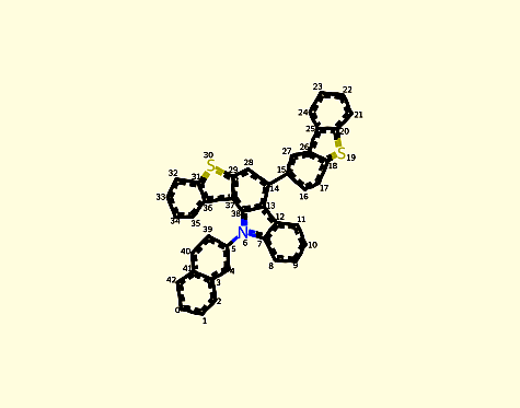 c1ccc2cc(-n3c4ccccc4c4c(-c5ccc6sc7ccccc7c6c5)cc5sc6ccccc6c5c43)ccc2c1